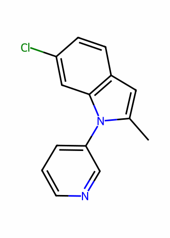 Cc1cc2ccc(Cl)cc2n1-c1cccnc1